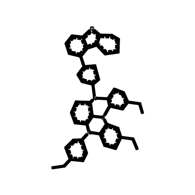 CCc1ccc(N2c3ccc(CC)cc3B3c4cc(CC)ccc4N(c4ccc(-c5cccc6oc7ccccc7c56)cc4)c4cccc2c43)cc1